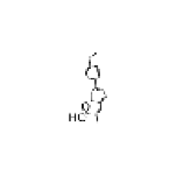 CCc1ccc(-c2ccc(C=C(C)C(=O)O)cc2)cc1